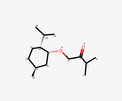 CC(C)C(=O)CO[C@@H]1C[C@@H](C)CC[C@@H]1C(C)C